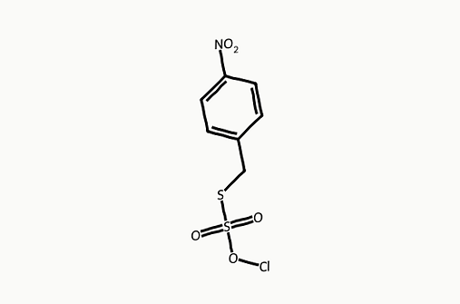 O=[N+]([O-])c1ccc(CSS(=O)(=O)OCl)cc1